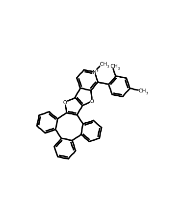 Cc1ccc(-c2c3oc4c5c(oc4c3cc[n+]2C)-c2ccccc2-c2ccccc2-c2ccccc2-5)c(C)c1